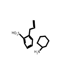 C=CCc1ccccc1S(=O)(=O)O.NC1CCCCC1